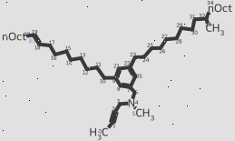 CC#CCN(C)Cc1cc(CCCCCCCC/C=C/CCCCCCCC)cc(CCCCCCCCCC(C)CCCCCCCC)c1